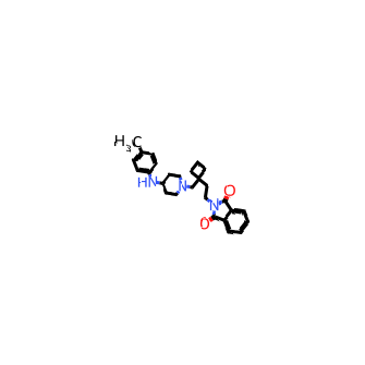 Cc1ccc(NC2CCN(CC3(CCN4C(=O)c5ccccc5C4=O)CCC3)CC2)cc1